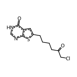 O=C(CCl)CCCCc1cc2c(=O)[nH]cnc2s1